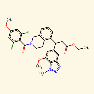 CCOC(=O)CC(c1cc(OC)c2c(c1)nnn2C)c1cccc2c1CCN(C(=O)c1c(F)cc(OC)cc1F)C2